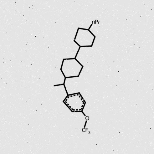 CCCC1CCC(C2CCC(C(C)c3ccc(OC(F)(F)F)cc3)CC2)CC1